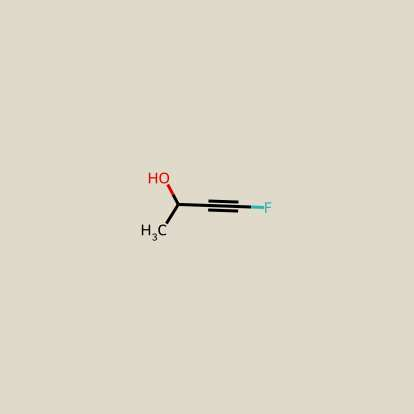 CC(O)C#CF